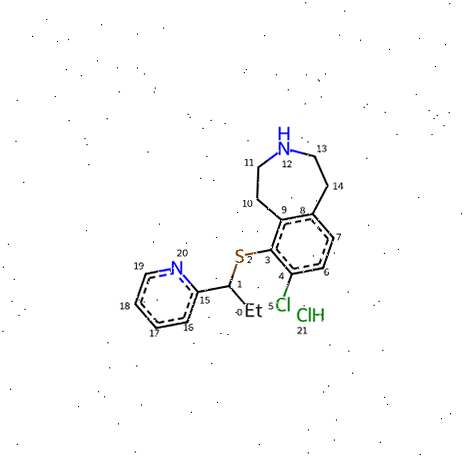 CCC(Sc1c(Cl)ccc2c1CCNCC2)c1ccccn1.Cl